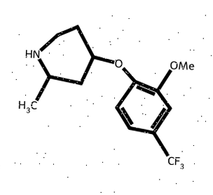 COc1cc(C(F)(F)F)ccc1OC1CCNC(C)C1